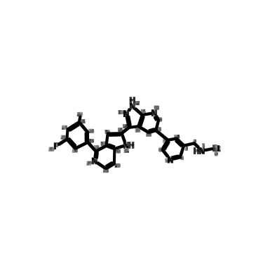 CCNCc1cncc(-c2cnc3[nH]nc(-c4cc5c(-c6cc(C)cc(F)c6)nccc5[nH]4)c3c2)c1